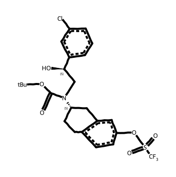 CC(C)(C)OC(=O)N(C[C@@H](O)c1cccc(Cl)c1)[C@H]1CCc2ccc(OS(=O)(=O)C(F)(F)F)cc2C1